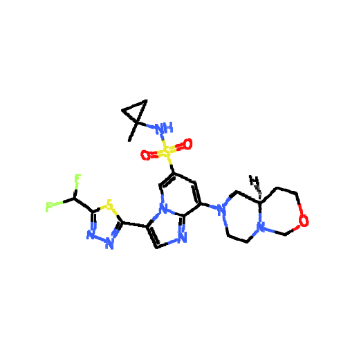 CC1(NS(=O)(=O)c2cc(N3CCN4COCC[C@@H]4C3)c3ncc(-c4nnc(C(F)F)s4)n3c2)CC1